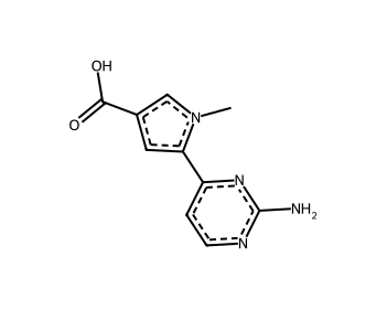 Cn1cc(C(=O)O)cc1-c1ccnc(N)n1